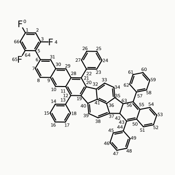 Fc1cc(F)c(-c2ccc3cc4c(-c5ccccc5)c5c(c(-c6ccccc6)c4cc3c2)-c2ccc3c4c(ccc-5c24)C2C(c4ccccc4)=c4ccccc4=C(c4ccccc4)C32)c(F)c1